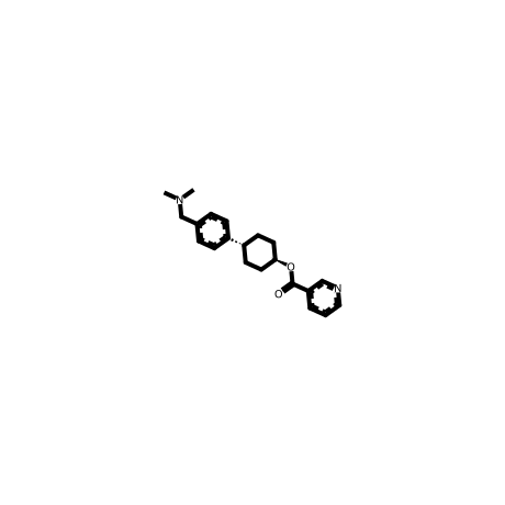 CN(C)Cc1ccc([C@H]2CC[C@H](OC(=O)c3cccnc3)CC2)cc1